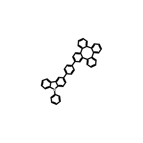 c1ccc(-n2c3ccccc3c3cc(-c4ccc(-c5ccc6c(c5)-c5ccccc5-c5ccccc5-c5ccccc5-6)cc4)ccc32)cc1